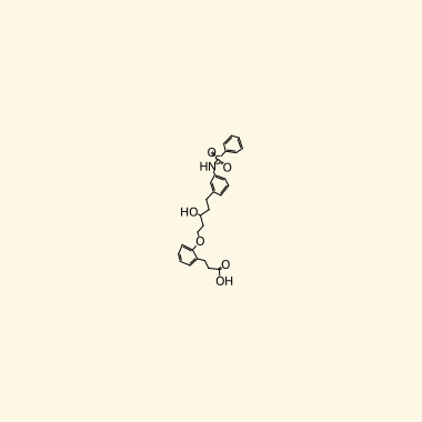 O=C(O)CCc1ccccc1OCCC(O)CCc1cccc(NS(=O)(=O)c2ccccc2)c1